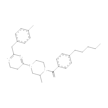 CCCCCc1ccc(C(=O)N2CCN(C3=NC(Cc4ccc(C)cc4)=NCC3)CC2C)cc1